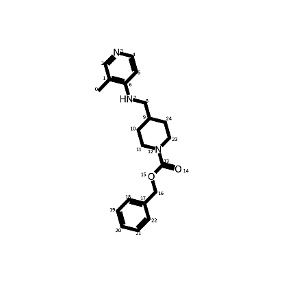 Cc1cnccc1NCC1CCN(C(=O)OCc2ccccc2)CC1